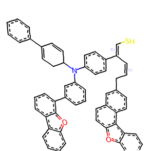 S/C=C(\C=C/Cc1ccc2c(ccc3oc4ccccc4c32)c1)c1ccc(N(c2cccc(-c3cccc4c3oc3ccccc34)c2)C2C=CC(c3ccccc3)=CC2)cc1